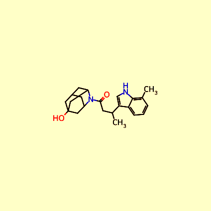 Cc1cccc2c(C(C)CC(=O)N3C4CC5CC3CC(O)(C5)C4)c[nH]c12